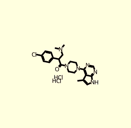 Cc1c[nH]c2ncnc(N3CCN(C(=O)C(CN(C)C)c4ccc(Cl)cc4)CC3)c12.Cl.Cl